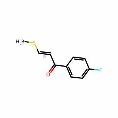 BS/C=C/C(=O)c1ccc(F)cc1